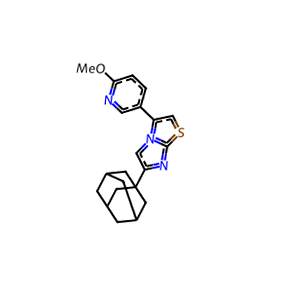 COc1ccc(-c2csc3nc(C45CC6CC(CC(C6)C4)C5)cn23)cn1